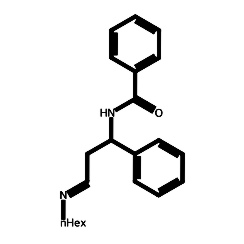 CCCCCCN=CCC(NC(=O)c1ccccc1)c1ccccc1